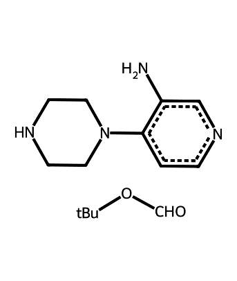 CC(C)(C)OC=O.Nc1cnccc1N1CCNCC1